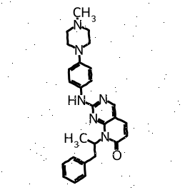 CC(Cc1ccccc1)n1c(=O)ccc2cnc(Nc3ccc(N4CCN(C)CC4)cc3)nc21